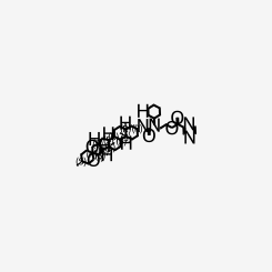 C[C@H]1CC[C@@]2(OC1)O[C@H]1C[C@H]3[C@@H]4CC[C@@H]5C[C@H](NC(=O)N(CCOC(=O)c6cnccn6)C6CCCCC6)CC[C@]5(C)[C@H]4CC[C@]3(C)[C@H]1[C@@H]2C